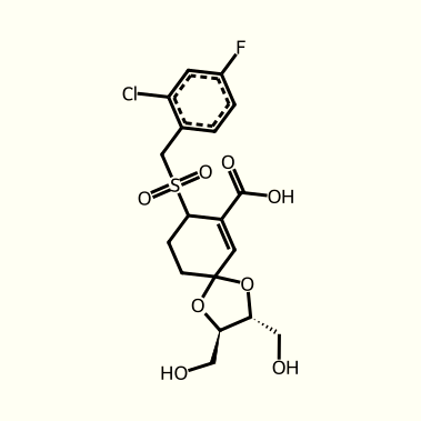 O=C(O)C1=CC2(CCC1S(=O)(=O)Cc1ccc(F)cc1Cl)O[C@H](CO)[C@@H](CO)O2